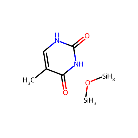 Cc1c[nH]c(=O)[nH]c1=O.[SiH3]O[SiH3]